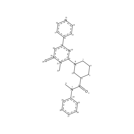 CN(C(=O)C1CCCN(c2nc(-c3ccncc3)cc(=O)n2C)C1)c1ccccc1